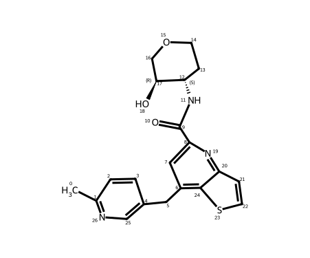 Cc1ccc(Cc2cc(C(=O)N[C@H]3CCOC[C@@H]3O)nc3ccsc23)cn1